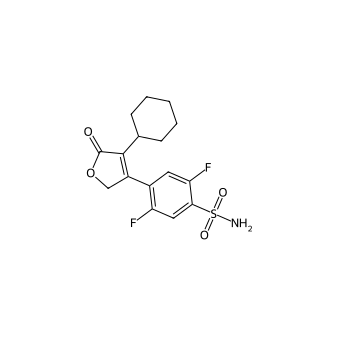 NS(=O)(=O)c1cc(F)c(C2=C(C3CCCCC3)C(=O)OC2)cc1F